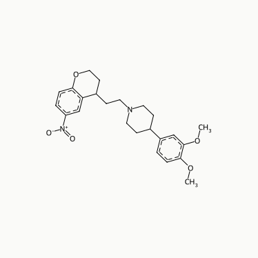 COc1ccc(C2CCN(CCC3CCOc4ccc([N+](=O)[O-])cc43)CC2)cc1OC